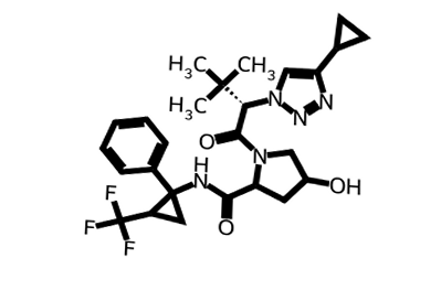 CC(C)(C)[C@@H](C(=O)N1CC(O)CC1C(=O)NC1(c2ccccc2)CC1C(F)(F)F)n1cc(C2CC2)nn1